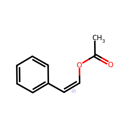 CC(=O)O/C=C\c1ccccc1